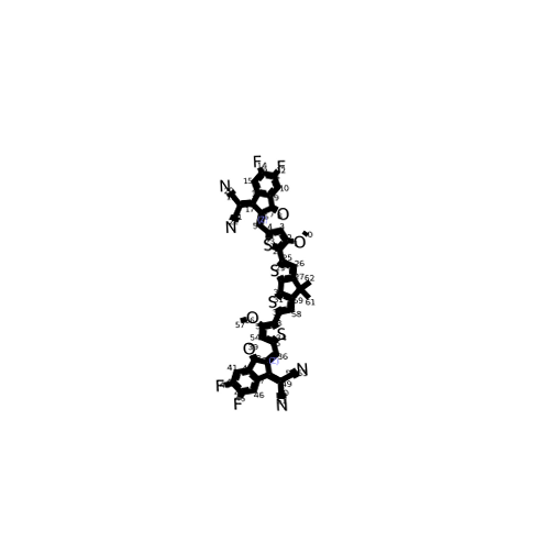 COc1cc(/C=C2\C(=O)c3cc(F)c(F)cc3C2=C(C#N)C#N)sc1-c1cc2c(s1)-c1sc(-c3sc(/C=C4\C(=O)c5cc(F)c(F)cc5C4=C(C#N)C#N)cc3OC)cc1C2(C)C